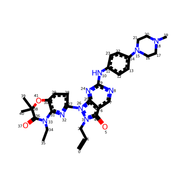 C=CCn1c(=O)c2cnc(Nc3ccc(N4CCN(C)CC4)cc3)nc2n1-c1ccc2c(n1)N(CC)C(=O)C(C)(C)O2